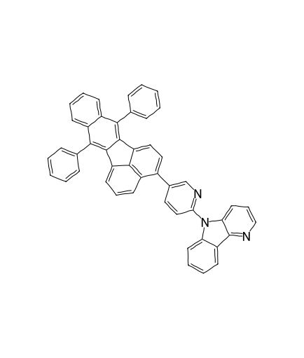 c1ccc(-c2c3c(c(-c4ccccc4)c4ccccc24)-c2ccc(-c4ccc(-n5c6ccccc6c6ncccc65)nc4)c4cccc-3c24)cc1